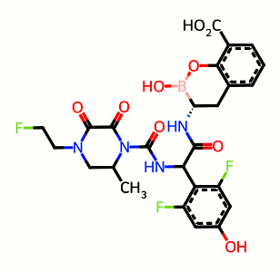 CC1CN(CCF)C(=O)C(=O)N1C(=O)NC(C(=O)N[C@H]1Cc2cccc(C(=O)O)c2OB1O)c1c(F)cc(O)cc1F